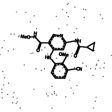 CONC(=O)c1cnc(NC(=O)C2CC2)cc1Nc1cccc(C#N)c1OC